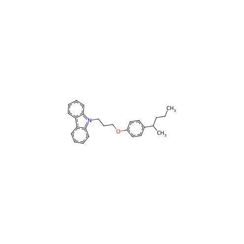 CCCC(C)c1ccc(OCCCn2c3ccccc3c3ccccc32)cc1